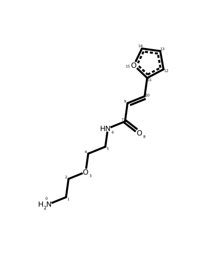 NCCOCCNC(=O)/C=C/c1ccco1